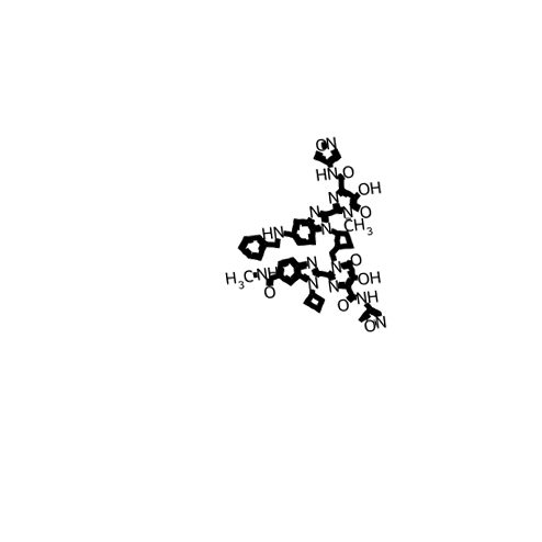 CNC(=O)c1ccc2nc(-c3nc(C(=O)Nc4cnoc4)c(O)c(=O)n3CC3CCC3n3c(-c4nc(C(=O)Nc5cnoc5)c(O)c(=O)n4C)nc4cc(NCc5ccccc5)ccc43)n(C3CCC3)c2c1